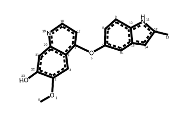 COc1cc2c(Oc3ccc4[nH]c(C)cc4c3)ccnc2cc1O